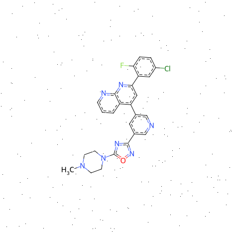 CN1CCN(c2nc(-c3cncc(-c4cc(-c5cc(Cl)ccc5F)nc5ncccc45)c3)no2)CC1